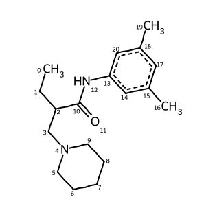 CCC(CN1CCCCC1)C(=O)Nc1cc(C)cc(C)c1